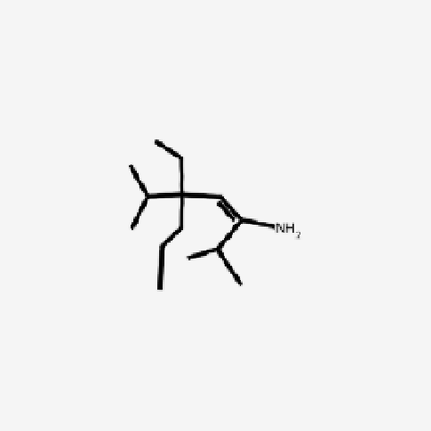 CCCC(/C=C(/N)C(C)C)(CC)C(C)C